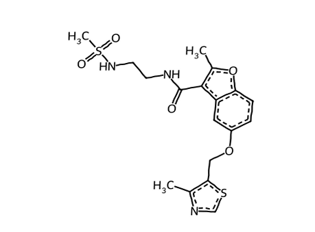 Cc1ncsc1COc1ccc2oc(C)c(C(=O)NCCNS(C)(=O)=O)c2c1